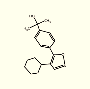 CC(C)(O)c1ccc(-c2oncc2C2CCCCC2)cc1